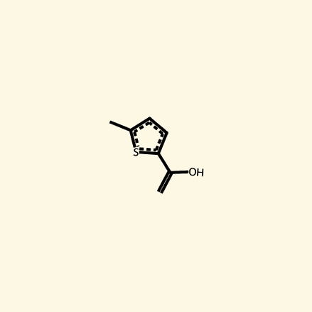 C=C(O)c1ccc(C)s1